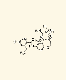 CCc1cc(Cl)cnc1C(=O)Nc1ccc2c(c1)[C@@]1(C)N=C(N)C(C)(C)S(=O)(=O)[C@@H]1CCO2